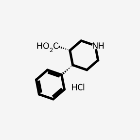 Cl.O=C(O)[C@@H]1CNCC[C@@H]1c1ccccc1